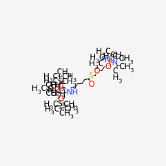 CC(C)N(C(C)C)P(OCCOCSC(=O)CCCCCNC(CO[Si](C)(C)C(C)(C)C)(CO[Si](C)(C)C(C)(C)C)CO[Si](C)(C)C(C)(C)C)N(C(C)C)C(C)C